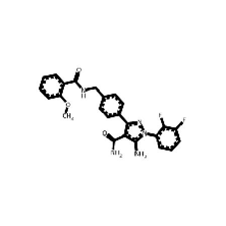 COc1ccccc1C(=O)NCc1ccc(-c2nn(-c3cccc(F)c3F)c(N)c2C(N)=O)cc1